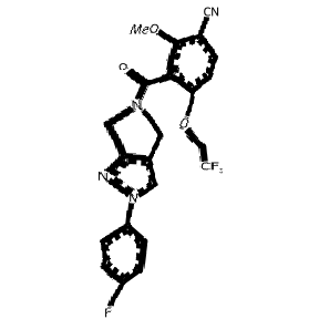 COc1c(C#N)ccc(OCC(F)(F)F)c1C(=O)N1Cc2cn(-c3ccc(F)cc3)nc2C1